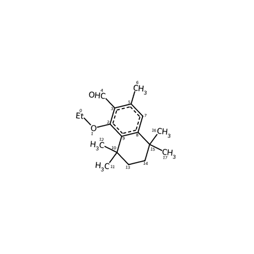 CCOc1c(C=O)c(C)cc2c1C(C)(C)CCC2(C)C